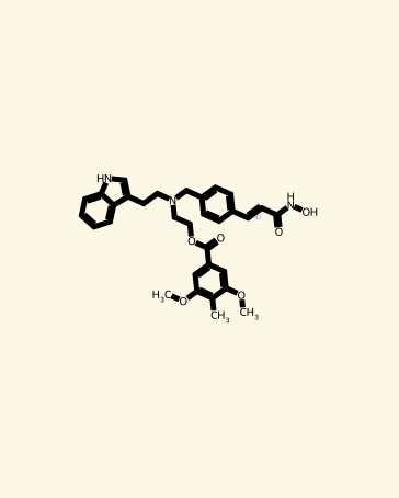 COc1cc(C(=O)OCCN(CCc2c[nH]c3ccccc23)Cc2ccc(/C=C/C(=O)NO)cc2)cc(OC)c1C